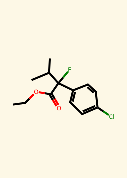 CCOC(=O)C(F)(c1ccc(Cl)cc1)C(C)C